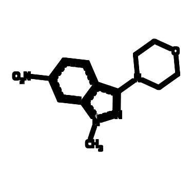 Cn1nc(N2CCOCC2)c2ccc([N+](=O)[O-])cc21